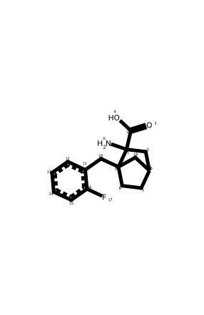 NC1(C(=O)O)CC2CCC1(Cc1ccccc1F)C2